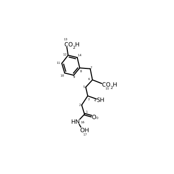 O=C(CC(S)CC(Cc1cccc(C(=O)O)c1)C(=O)O)NO